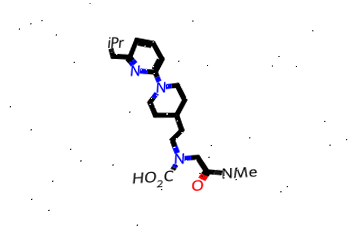 CNC(=O)CN(CCC1CCN(c2cccc(CC(C)C)n2)CC1)C(=O)O